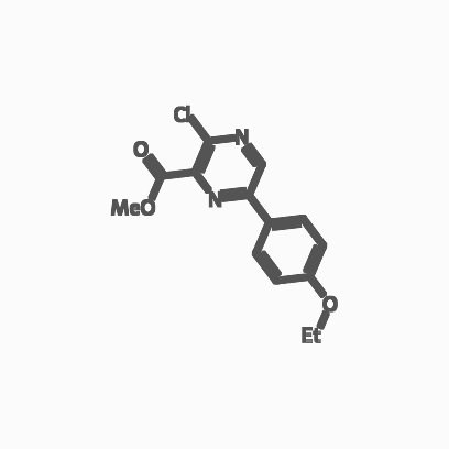 CCOc1ccc(-c2cnc(Cl)c(C(=O)OC)n2)cc1